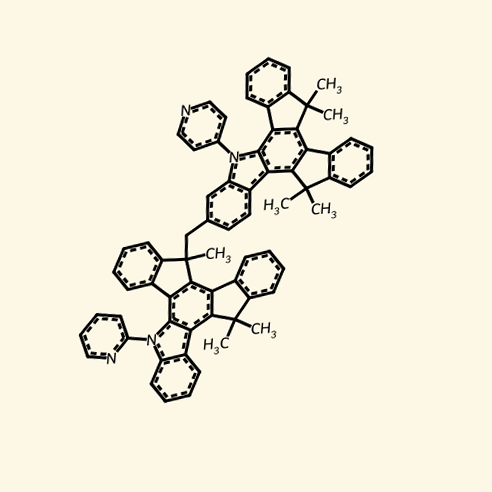 CC1(C)c2ccccc2-c2c1c1c(c3c4ccc(CC5(C)c6ccccc6-c6c5c5c(c7c8ccccc8n(-c8ccccn8)c67)C(C)(C)c6ccccc6-5)cc4n(-c4ccncc4)c23)C(C)(C)c2ccccc2-1